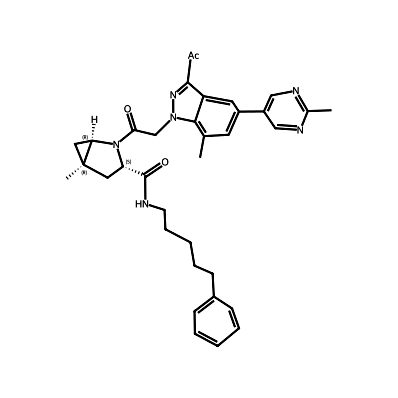 CC(=O)c1nn(CC(=O)N2[C@H](C(=O)NCCCCCc3ccccc3)C[C@@]3(C)C[C@@H]23)c2c(C)cc(-c3cnc(C)nc3)cc12